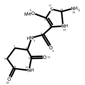 COC1=C(C(=O)NC2CCC(=O)NC2=O)NC(N)S1